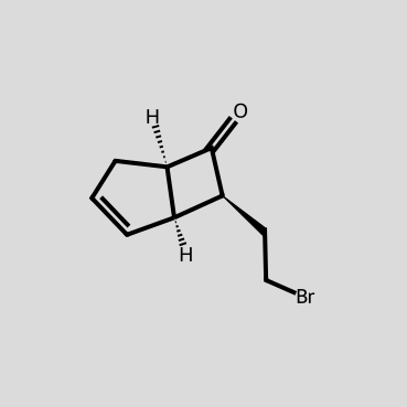 O=C1[C@@H](CCBr)[C@H]2C=CC[C@@H]12